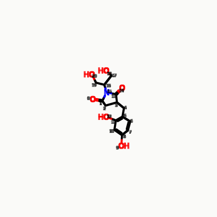 O=C1CC(Cc2ccc(O)cc2O)C(=O)N1C(CO)CO